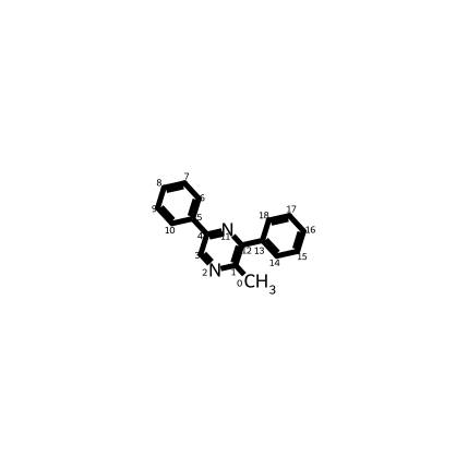 Cc1ncc(-c2ccccc2)nc1-c1ccccc1